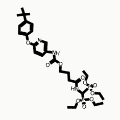 CCOP(=O)(OCC)C(NC(=O)CCCOC(=O)Nc1ccc(Oc2ccc(C(C)(C)C)cc2)nc1)P(=O)(OCC)OCC